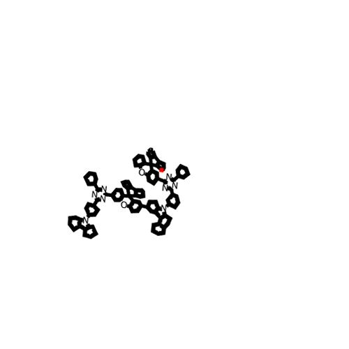 c1ccc(-c2nc(-c3ccc(-n4c5ccccc5c5ccccc54)cc3)nc(-c3ccc4c(c3)Oc3ccc(-c5ccc6c(c5)c5c7ccccc7ccc5n6-c5cccc(-c6nc(-c7ccccc7)nc(-c7ccc8c(c7)C7(c9ccccc9O8)c8ccccc8-c8ccccc87)n6)c5)cc3C43c4ccccc4-c4ccccc43)n2)cc1